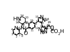 Cc1cccnc1N(C(=O)c1ccc(-c2cnn(C)c2-c2nnnn2[C@H](C)OC(=O)O)cc1)[C@@H]1CCCNC1